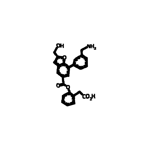 NCc1cccc(-c2cc(C(=O)Oc3ccccc3CC(=O)O)cc3cc(CO)oc23)c1